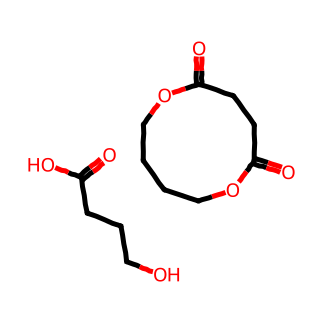 O=C(O)CCCO.O=C1CCC(=O)OCCCCO1